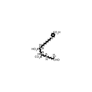 N[C@H]([C]=O)CCCCNC(=O)CC[C@H](NC(=O)CCC(NC(=O)CCCCCCCCCOc1ccc(C(=O)O)cc1)C(=O)O)C(=O)O